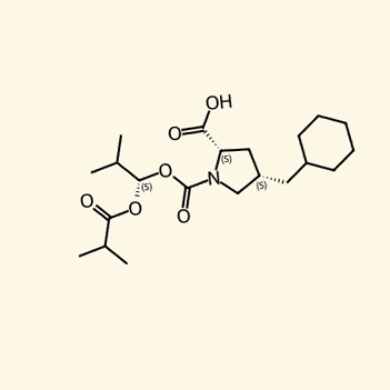 CC(C)C(=O)O[C@@H](OC(=O)N1C[C@@H](CC2CCCCC2)C[C@H]1C(=O)O)C(C)C